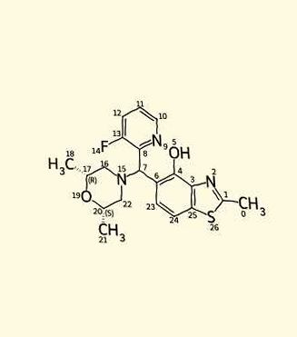 Cc1nc2c(O)c(C(c3ncccc3F)N3C[C@@H](C)O[C@@H](C)C3)ccc2s1